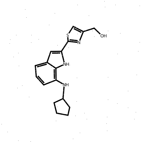 OCc1csc(-c2cc3cccc(NC4CCCC4)c3[nH]2)n1